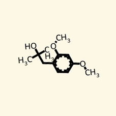 COc1ccc(CC(C)(C)O)c(OC)c1